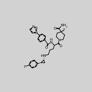 NC(=O)C1(F)CCN(C(=O)C(CCCN[C@@H]2C[C@H]2c2ccc(F)cc2)NC(=O)c2ccc(-n3ccnn3)cc2)CC1